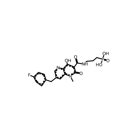 Cn1c(=O)c(C(=O)NCCCP(=O)(O)O)c(O)c2ncc(Cc3ccc(F)cc3)cc21